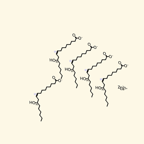 CCCCCC[C@@H](O)C/C=C\CCCCCCCC(=O)[O-].CCCCCC[C@@H](O)C/C=C\CCCCCCCC(=O)[O-].CCCCCC[C@@H](O)C/C=C\CCCCCCCC(=O)[O-].CCCCCC[C@@H](O)C/C=C\CCCCCCCC(=O)[O-].CCCCCC[C@@H](O)C/C=C\CCCCCCCC(=O)[O-].[La+3].[Zn+2]